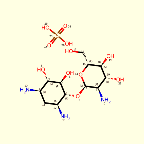 N[C@H]1[C@@H](O[C@H]2[C@H](O)[C@@H](O)[C@H](N)C[C@@H]2N)O[C@H](CO)[C@@H](O)[C@@H]1O.O=S(=O)(O)O